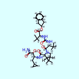 CC(C)(C)C(NC(=O)N[C@@H](C(=O)N1C[C@H]2[C@@H]([C@H]1C(=O)NC(CC1CC1)C(=O)C(N)=O)C2(C)C)C(C)(C)C)C(=O)OC1Cc2ccccc2C1